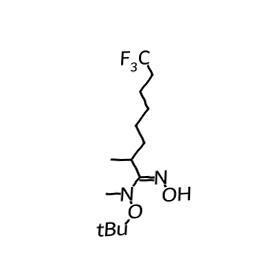 CC(CCCCCC(F)(F)F)/C(=N/O)N(C)OC(C)(C)C